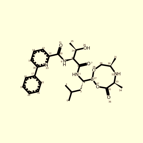 CC(C)C[C@H](NC(=O)[C@@H](NC(=O)c1cccc(-c2ccccc2)n1)[C@@H](C)O)B1OC[C@@H](C)N[C@@H](C)C(=O)O1